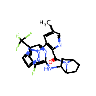 Cc1cnc(C(=O)N2C3CCC2C(Nc2ncc(C(F)(F)F)cc2F)C3)c(-n2nccn2)c1